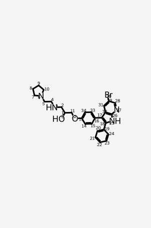 OC(CNCCN1CCCC1)COc1ccc(-c2c(-c3ccccc3)[nH]c3ncc(Br)cc23)cc1